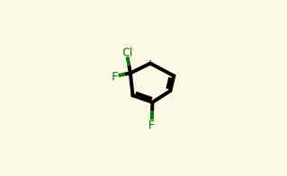 FC1=CC(F)(Cl)[CH]C=C1